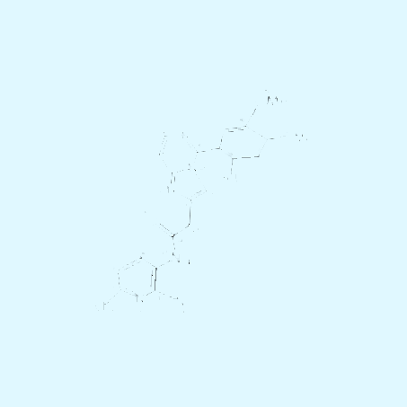 COc1cc(Cl)c(-c2nccc3nc(CC(=O)Nc4ccc(Cl)nc4N)cn23)cc1OC